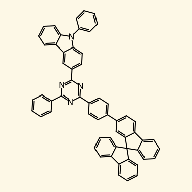 c1ccc(-c2nc(-c3ccc(-c4ccc5c(c4)C4(c6ccccc6-c6ccccc64)c4ccccc4-5)cc3)nc(-c3ccc4c(c3)c3ccccc3n4-c3ccccc3)n2)cc1